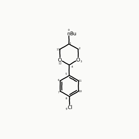 CCCCC1COC(c2ccc(Cl)cc2)OC1